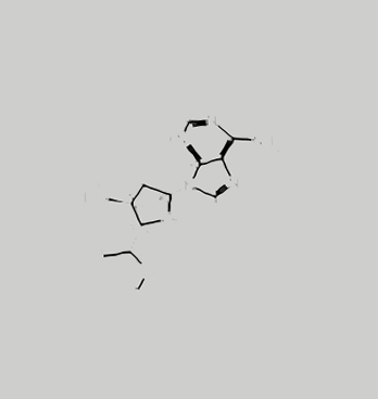 COC(C)[C@H]1O[C@@H](n2cnc3c(N)ncnc32)C[C@@H]1O